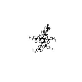 CC(=O)OC[C@H]1O[C@@H](OC(C)=O)[C@H](NC(=S)NCC(F)(F)F)[C@@H](OC(C)=O)[C@@H]1OC(C)=O